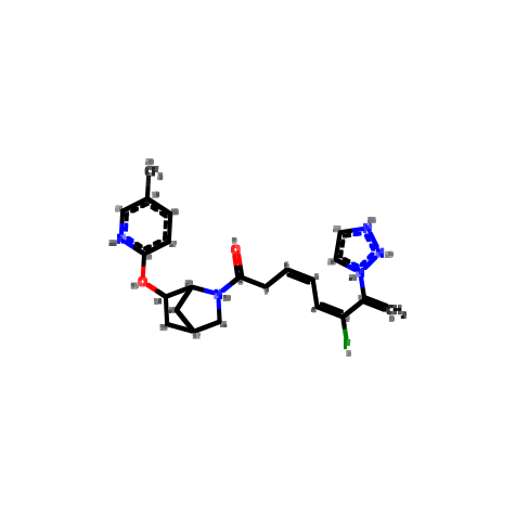 C=C(/C(F)=C\C=C/CC(=O)N1CC2CC(Oc3ccc(C(F)(F)F)cn3)C1C2)n1ccnn1